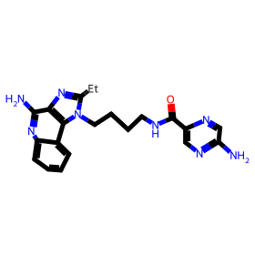 CCc1nc2c(N)nc3ccccc3c2n1CCCCNC(=O)c1cnc(N)cn1